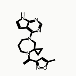 C=C(c1cc(C)on1)N1CCCN(c2ncnc3[nH]ccc23)CC12CC2